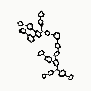 c1ccc(-c2ccc(-c3cc(N(c4ccc(-c5ccccc5)cc4)c4ccc(-c5ccccc5)cc4)ccc3-c3ccc(-c4ccc(-c5cccc(-c6ccc(N(c7ccc(-c8ccccc8)cc7)c7ccc(-c8cccc(-c9ccccc9)c8)c(-c8ccc(-c9ccccc9)cc8)c7)cc6)c5)cc4)cc3)cc2)cc1